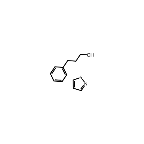 OCCCc1ccccc1.c1cnsc1